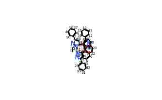 CC(C)[B-](C1(c2ccccc2)C=C(c2ccccc2)N=N1)(C1(c2ccccc2)C=C(c2ccccc2)N=N1)C1(c2ccccc2)C=C(c2ccccc2)N=N1